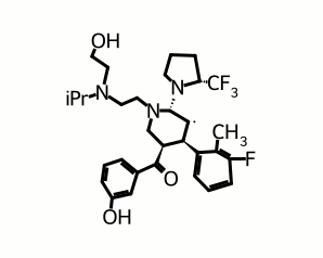 Cc1c(F)cccc1[C@@H]1[CH][C@@H](N2CCC[C@@H]2C(F)(F)F)N(CCN(CCO)C(C)C)C[C@@H]1C(=O)c1cccc(O)c1